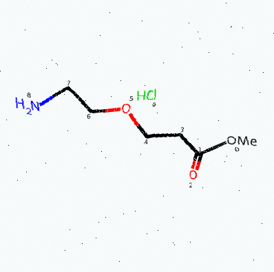 COC(=O)CCOCCN.Cl